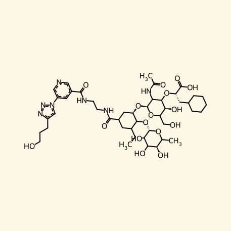 CCC1CC(C(=O)NCCNC(=O)c2cncc(-n3cc(CCCO)nn3)c2)C[C@@H](O[C@@H]2OC(CO)[C@H](O)C(O[C@@H](CC3CCCCC3)C(=O)O)C2NC(C)=O)C1O[C@@H]1OC(C)[C@@H](O)C(O)C1O